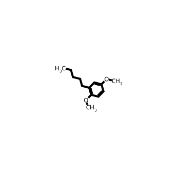 CCCCCc1cc(OC)ccc1OC